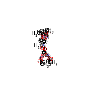 C=C(C)C(=O)O/C=C\Oc1ccc(OC(=O)/C=C(\C)c2ccc(O/C=C\OC(=O)C(=C)C)c3c(O/C=C\OC(=O)C(=C)C)cccc23)cc1O/C=C\OC(=O)C(=C)C